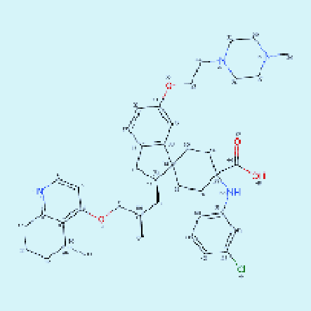 C[C@@H](COc1ccnc2c1[C@H](C)CCC2)C[C@H]1Cc2ccc(OCCN3CCN(C)CC3)cc2C12CCC(Nc1cccc(Cl)c1)(C(=O)O)CC2